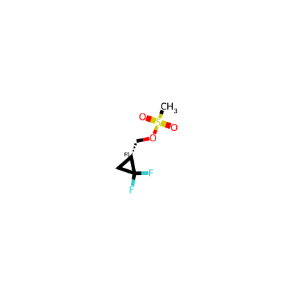 CS(=O)(=O)OC[C@H]1CC1(F)F